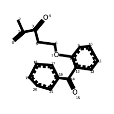 C=C(C)C(=O)CCOc1ccccc1C(=O)c1ccccc1